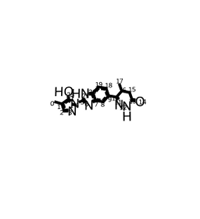 Cc1cnn(-c2nc3cc(C4=NNC(=O)CC4C)ccc3[nH]2)c1O